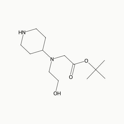 CC(C)(C)OC(=O)CN(CCO)C1CCNCC1